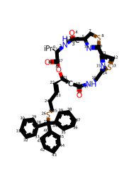 CC(C)[C@@H]1NC(=O)[C@]2(C)CSC(=N2)c2csc(n2)CNC(=O)C[C@@H](/C=C/CCSC(c2ccccc2)(c2ccccc2)c2ccccc2)OC1=O